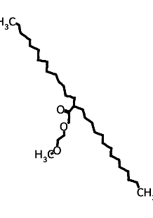 CCCCCCCCCCCCCCC(CCCCCCCCCCCCCC)C(=O)COCCOC